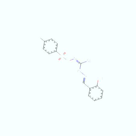 Cc1ccc(S(=O)(=O)ON=C(N)NN=Cc2ccccc2O)cc1